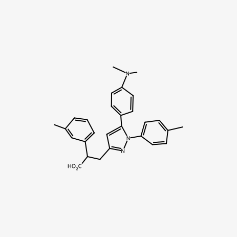 Cc1ccc(-n2nc(CC(C(=O)O)c3cccc(C)c3)cc2-c2ccc(N(C)C)cc2)cc1